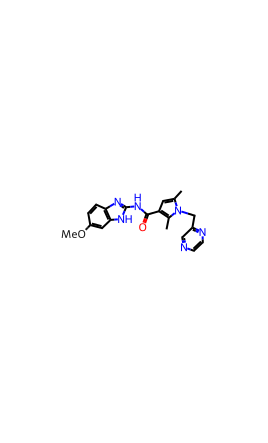 COc1ccc2nc(NC(=O)c3cc(C)n(Cc4cnccn4)c3C)[nH]c2c1